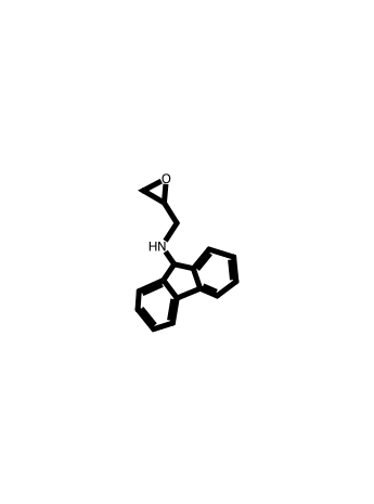 c1ccc2c(c1)-c1ccccc1C2NCC1CO1